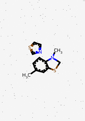 Cc1ccc2c(c1)SCN2C.c1cscn1